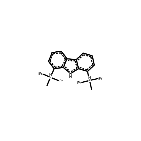 CC(C)[PH](C)(c1cccc2c1[nH]c1c([PH](C)(C(C)C)C(C)C)cccc12)C(C)C